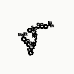 CCN(CC)c1ccc2cc(/C=C/c3sc4ccccc4[n+]3Cc3cn(CCCn4cc(C[n+]5c(/C=C/c6cc7ccc(N(CC)CC)cc7oc6=O)sc6ccccc65)nn4)nn3)c(=O)oc2c1